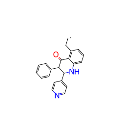 [CH2]Cc1cccc2c1C(=O)C(c1ccccc1)C(c1ccncc1)N2